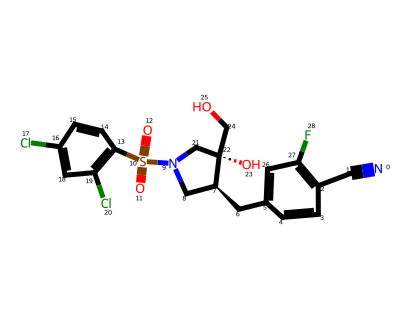 N#Cc1ccc(C[C@H]2CN(S(=O)(=O)c3ccc(Cl)cc3Cl)C[C@@]2(O)CO)cc1F